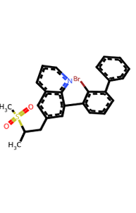 CC(Cc1cc(-c2cccc(-c3ccccc3)c2Br)c2ncccc2c1)S(C)(=O)=O